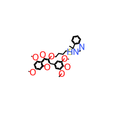 COc1cc(OC)c2c(=O)c(OCCCCSC3(C)NC=Nc4ccccc43)c(-c3cc(OC)c(OC)c(OC)c3)oc2c1